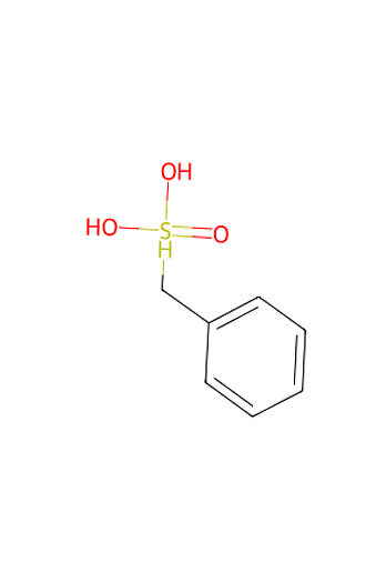 O=[SH](O)(O)Cc1ccccc1